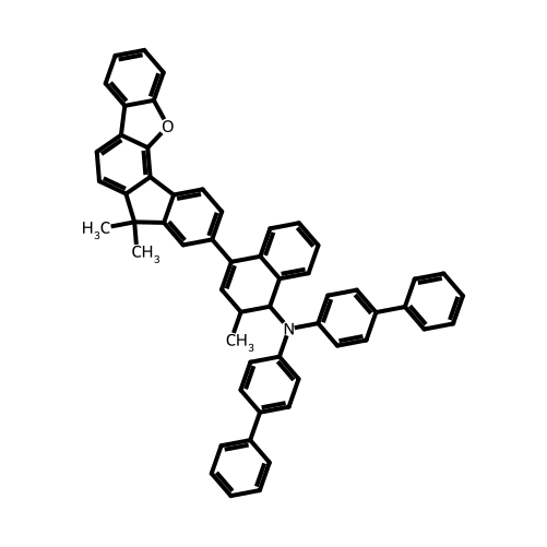 CC1C=C(c2ccc3c(c2)C(C)(C)c2ccc4c(oc5ccccc54)c2-3)c2ccccc2C1N(c1ccc(-c2ccccc2)cc1)c1ccc(-c2ccccc2)cc1